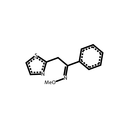 CON=C(Cc1nccs1)c1ccccc1